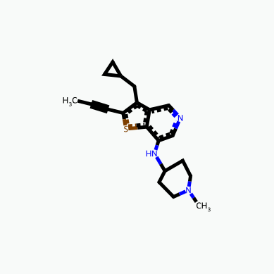 CC#Cc1sc2c(NC3CCN(C)CC3)cncc2c1CC1CC1